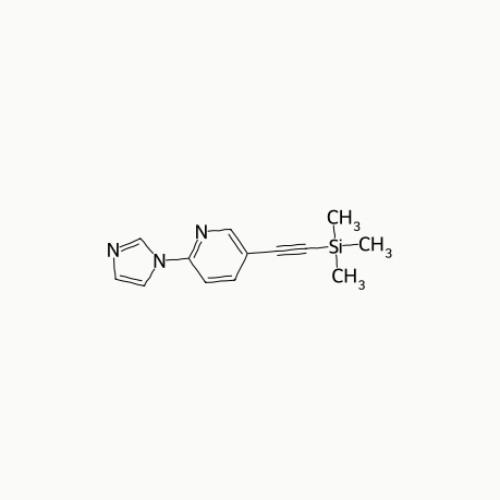 C[Si](C)(C)C#Cc1ccc(-n2ccnc2)nc1